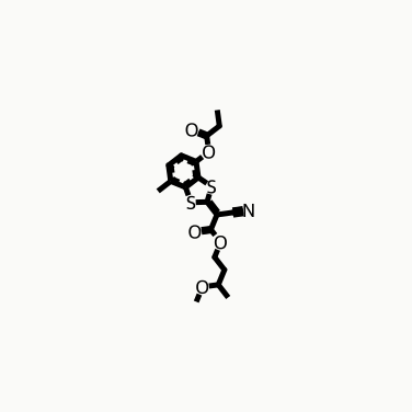 CCC(=O)Oc1ccc(C)c2c1S/C(=C(\C#N)C(=O)OCCC(C)OC)S2